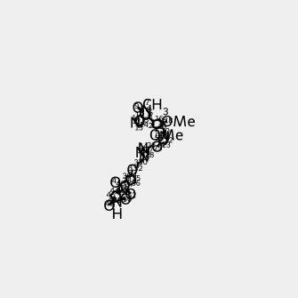 COc1cc(-c2cn(C)c(=O)c3cnccc23)cc(OC)c1CN1CCC(OCc2cn(CCCOc3ccc4c(c3)C(=O)N(C3CCC(=O)NC3=O)C4=O)nn2)C1